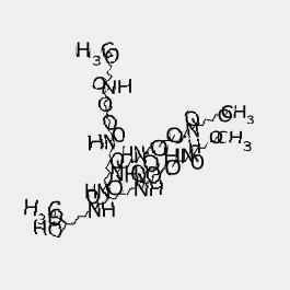 COCCCCC(=O)NCCOCCOCC(=O)NCCCCC(CC(=O)NCCCCC(CO)COC)NC(=O)CC(CCCCNC(=O)COCCOCCNC(=O)CCCCOC)NC(=O)CCCNC(=O)COCCOCCNC(=O)CCCCOC